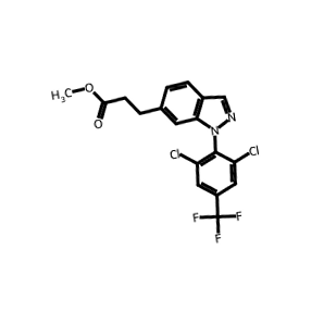 COC(=O)CCc1ccc2cnn(-c3c(Cl)cc(C(F)(F)F)cc3Cl)c2c1